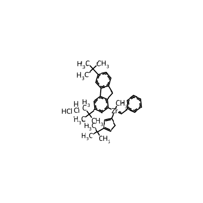 CC(C)(C)C1=CC[C]([Zr]([CH3])(=[CH]c2ccccc2)[c]2cc(C(C)(C)C)cc3c2Cc2ccc(C(C)(C)C)cc2-3)=C1.Cl.Cl